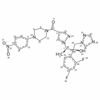 C[C@@H](n1cc(C(=O)N2CCN(c3ccc([N+](=O)[O-])cc3)CC2)cn1)[C@](O)(Cn1cncn1)c1ccc(F)cc1F